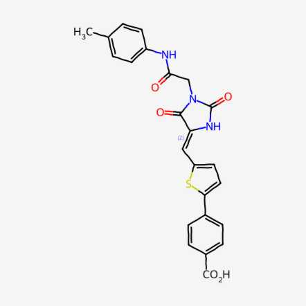 Cc1ccc(NC(=O)CN2C(=O)N/C(=C\c3ccc(-c4ccc(C(=O)O)cc4)s3)C2=O)cc1